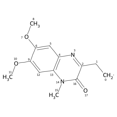 [CH2]Cc1nc2cc(OC)c(OC)cc2n(C)c1=O